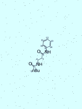 CCCCC(=O)NCCC(=O)Nc1c[c]ccc1